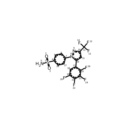 NS(=O)(=O)c1ccc(-n2nc(C(F)(F)F)cc2-c2cc(F)c(F)c(F)c2F)cc1